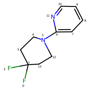 FC1(F)CCN(c2ccccn2)CC1